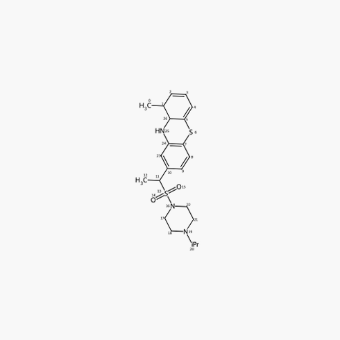 CC1C=CC=C2Sc3ccc(C(C)S(=O)(=O)N4CCN(C(C)C)CC4)cc3NC21